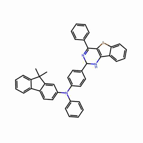 CC1(C)c2ccccc2-c2ccc(N(c3ccccc3)c3ccc(C4N=C(c5ccccc5)c5sc6ccccc6c5N4)cc3)cc21